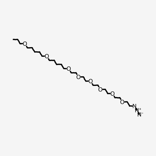 CCCOCCCCCOCCCCCOCCOCCOCCOCCOCCOCCN=[N+]=[N-]